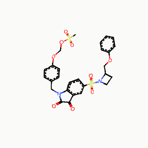 CS(=O)(=O)OCOc1ccc(CN2C(=O)C(=O)c3cc(S(=O)(=O)N4CCC4COc4ccccc4)ccc32)cc1